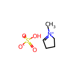 C[N+]1=CCCC1.O=S(=O)([O-])O